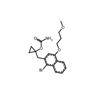 COCCCOc1cc(CC2(OC(N)=O)CC2)c(Br)c2ccccc12